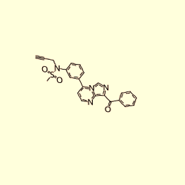 C#CCN(c1cccc(-c2ccnc3c(C(=O)c4ccccc4)ncn23)c1)S(C)(=O)=O